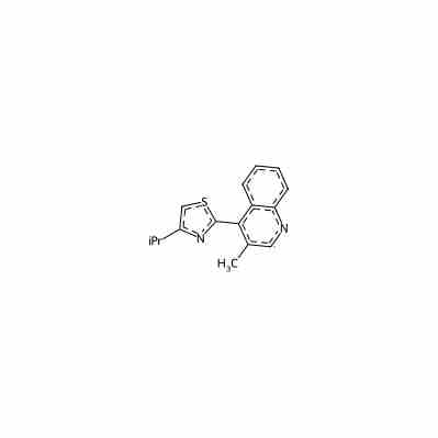 Cc1[c]nc2ccccc2c1-c1nc(C(C)C)cs1